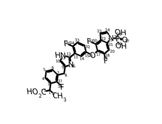 CC(C(=O)O)c1cccc(Cc2c[nH]c(-c3cc(Oc4c(F)cc5c(ccn5P(=O)(O)O)c4F)ccc3F)n2)c1F